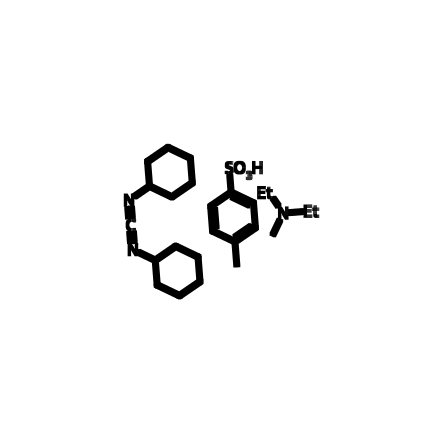 C(=NC1CCCCC1)=NC1CCCCC1.CCN(C)CC.Cc1ccc(S(=O)(=O)O)cc1